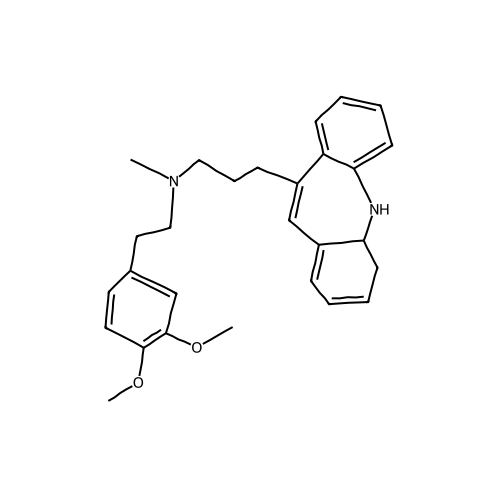 COc1ccc(CCN(C)CCCC2=CC3=CC=CCC3Nc3ccccc32)cc1OC